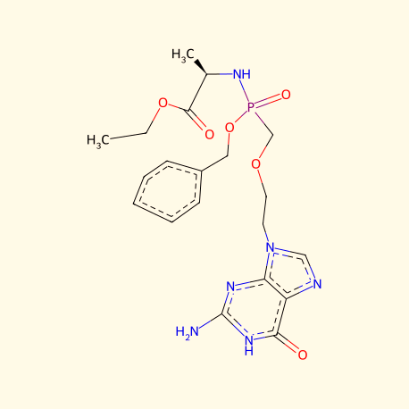 CCOC(=O)[C@@H](C)NP(=O)(COCCn1cnc2c(=O)[nH]c(N)nc21)OCc1ccccc1